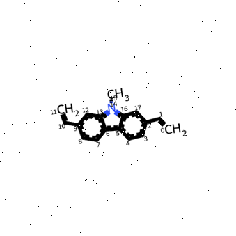 C=Cc1ccc2c3ccc(C=C)cc3n(C)c2c1